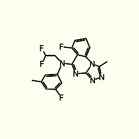 Cc1cc(F)cc(N(CC(F)F)c2nc3nnc(C)n3c3cccc(F)c23)c1